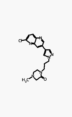 CN1CCN(CCCn2cc(-c3cnc4ccc(Cl)nc4c3)cn2)C(=O)C1